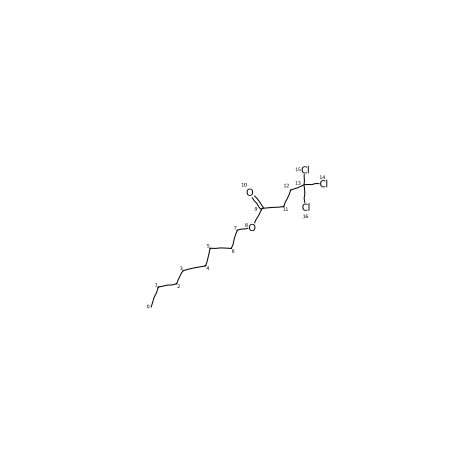 CCCCCCCCOC(=O)CCC(Cl)(Cl)Cl